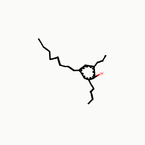 CCCCCCCCc1cc(CCC)c(O)c(CCCC)c1